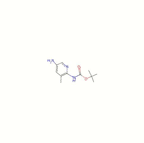 Cc1cc(N)cnc1NC(=O)OC(C)(C)C